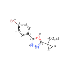 CCOC(=O)C1(c2nnc(-c3ccc(Br)cc3)o2)CC1